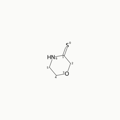 S=C1COCCN1